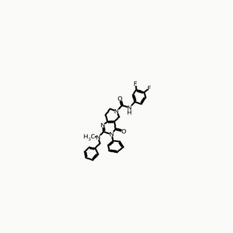 CN(Cc1ccccc1)c1nc2c(c(=O)n1-c1ccccc1)CN(C(=O)Nc1ccc(F)c(F)c1)CC2